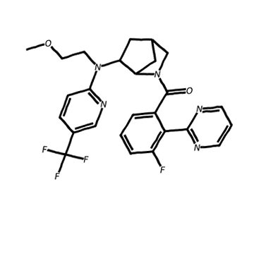 COCCN(c1ccc(C(F)(F)F)cn1)C1CC2CC1N(C(=O)c1cccc(F)c1-c1ncccn1)C2